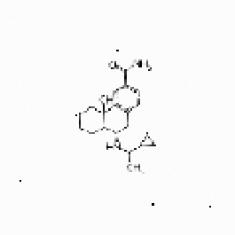 C[C@@H](N[C@@H]1Cc2ccc(C(N)=O)cc2[C@@]2(C)CCCCC12)C1CC1